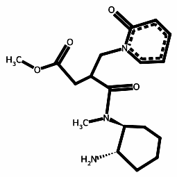 COC(=O)CC(Cn1ccccc1=O)C(=O)N(C)[C@H]1CCCC[C@@H]1N